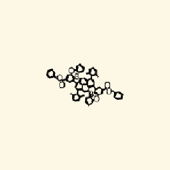 Cc1cccc(C)c1-c1cc2c3c(cc4c(-c5c(C)cccc5C)cc5c6c(cc1c3c46)B1c3ccccc3Oc3cc(C(=O)OCc4ccccc4)cc-5c31)B1c3ccccc3Oc3cc(C(=O)OCc4ccccc4)cc-2c31